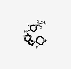 CS(=O)(=O)N1CC[C@@H](Nc2ncc3ccn([C@@H]4CCCNC[C@@H]4F)c3n2)[C@H](F)C1